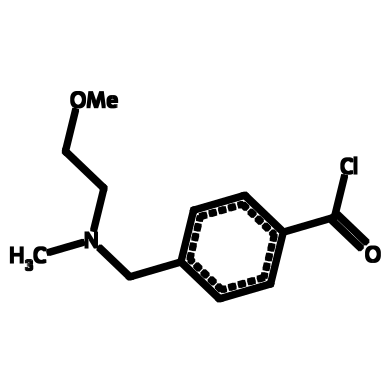 COCCN(C)Cc1ccc(C(=O)Cl)cc1